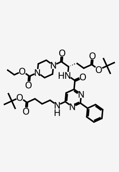 CCOC(=O)N1CCN(C(=O)[C@H](CCC(=O)OC(C)(C)C)NC(=O)c2cc(NCCCC(=O)OC(C)(C)C)nc(-c3ccccc3)n2)CC1